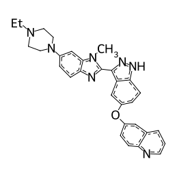 CCN1CCN(c2ccc3nc(-c4n[nH]c5ccc(Oc6ccc7ncccc7c6)cc45)n(C)c3c2)CC1